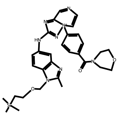 Cc1nc2cc(NC3=N[N+]4(c5ccc(C(=O)N6CCOCC6)cc5)C=CN=CC4=N3)ccc2n1COCC[Si](C)(C)C